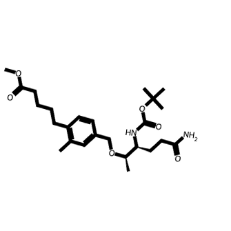 COC(=O)CCCCc1ccc(CO[C@H](C)[C@H](CCC(N)=O)NC(=O)OC(C)(C)C)cc1C